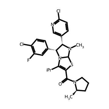 CC(C)C1=C(C(=O)N2CCC[C@H]2C)SC2N(C)[C@@H](c3ccc(Cl)nc3)[C@@H](c3ccc(Cl)c(F)c3)N12